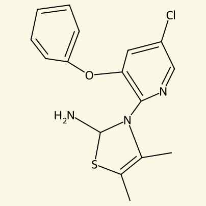 CC1=C(C)N(c2ncc(Cl)cc2Oc2ccccc2)C(N)S1